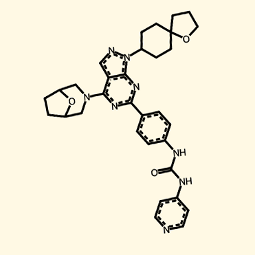 O=C(Nc1ccncc1)Nc1ccc(-c2nc(N3CC4CCC(C3)O4)c3cnn(C4CCC5(CCCO5)CC4)c3n2)cc1